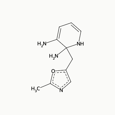 Cc1ncc(CC2(N)NC=CC=C2N)o1